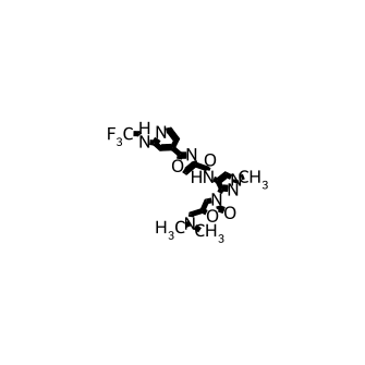 CN(C)CC1CN(c2nn(C)cc2NC(=O)c2coc(-c3ccnc(NCC(F)(F)F)c3)n2)C(=O)O1